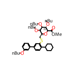 CCCCOc1cccc(-c2ccc(C3CCCCC3)c(SC[C@@H]3OC(C(=O)OC)[C@@H](OCCCC)C(OCCCC)[C@@H]3OCCCC)c2)c1